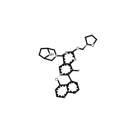 Fc1c(-c2cccc3cccc(Cl)c23)ncc2c(N3CC4CCC(C3)N4)nc(OC[C@H]3CCCO3)nc12